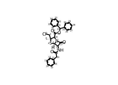 C[C@@]1(CCl)S[C@@H]2C(NC(=O)Cc3ccccc3)C(=O)N2C1C(=O)OC(c1ccccc1)c1ccccc1